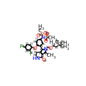 Cc1c2c(c(-c3cc(N(S(C)(=O)=O)S(C)(=O)=O)ccc3Oc3ccc(F)cc3F)n1COCC[Si](C)(C)C)CCNC2=O